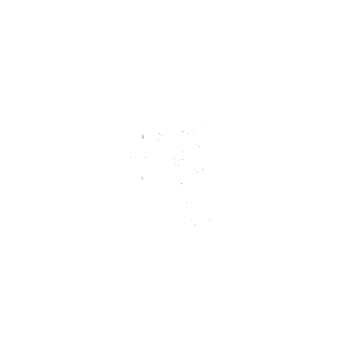 CC(C)Cc1nc(CNC(C)C)c(-c2nc(Oc3ccccc3)cc(Oc3ccccc3)n2)[nH]1